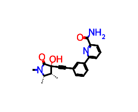 C[C@@H]1[C@H](C)N(C)C(=O)[C@@]1(O)C#Cc1cccc(-c2cccc(C(N)=O)n2)c1